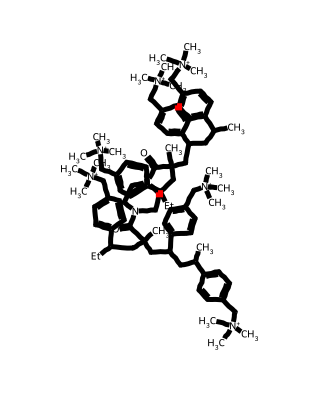 CCC(CC(C)(CC(CC(C)c1ccc(C[N+](C)(C)C)cc1)c1ccc(C[N+](C)(C)C)cc1)C(=O)N1CCN(C(=O)C(C)(CC(CC)c2ccc(C[N+](C)(C)C)cc2)CC(CC(C)c2ccc(C[N+](C)(C)C)cc2)c2ccc(C[N+](C)(C)C)cc2)CC1)c1ccc(C[N+](C)(C)C)cc1